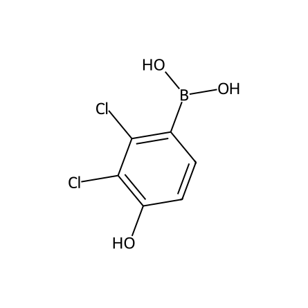 OB(O)c1ccc(O)c(Cl)c1Cl